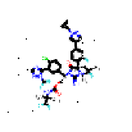 CC(C)(F)C[C@]1(c2ccc(-c3cnn(C4CC4)c3)cc2F)NC(=N)N([C@H](COC(=O)NC(C)(C)C(F)F)c2ccc(Cl)c(-c3ncnn3C(F)F)c2)C1=O